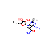 CC[C@H]1O[C@@H](n2cc(C(N)=O)c3c(N)nc(C)nc32)[C@H](O)[C@@H]1O